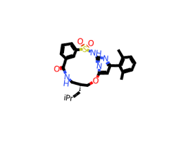 Cc1cccc(C)c1-c1cc2nc(n1)NS(=O)(=O)c1cccc(c1)C(=O)NC[C@@H](CC(C)C)CO2